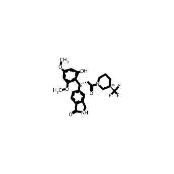 COc1cc(O)c([C@H](CC(=O)N2CCC[C@@H](C(F)(F)F)C2)c2ccc3c(c2)CNC3=O)c(OC)c1